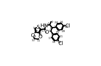 CC(NC(=O)c1scc2c1OCCO2)C(Cc1ccc(Cl)cc1)c1ccc(Cl)cc1